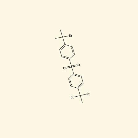 CCC(C)(C)c1ccc(S(=O)(=O)c2ccc(C(C)(CC)CC)cc2)cc1